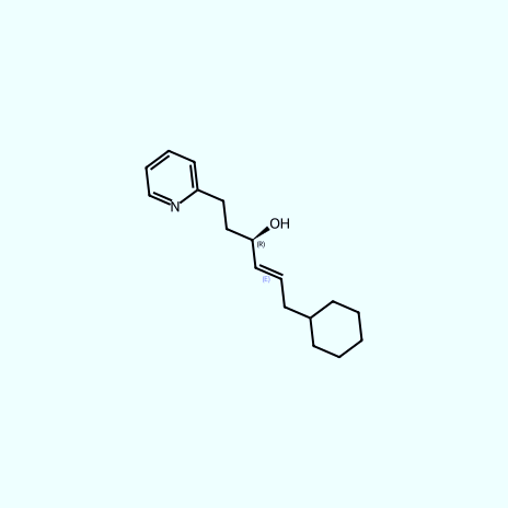 O[C@@H](/C=C/CC1CCCCC1)CCc1ccccn1